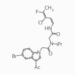 CC(=O)c1cn(CC(=O)N(CC(=O)N/C=C\C(Cl)=C(/C)F)C(C)C)c2ccc(Br)cc12